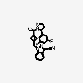 N#Cc1nn(CC23CC(C(=O)N4N=CCC4c4cc(F)cc(F)c4)(C2)C3)c2ccccc12